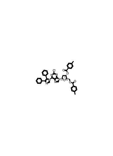 Cc1ccc(C(=O)OC[C@H]2O[C@H](n3cnc4c(-n5cnc(-c6ccccc6)c5-c5ccccc5)nc(Cl)nc43)C[C@@H]2OC(=O)c2ccc(C)cc2)cc1